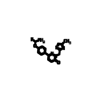 Cc1csc(Cn2nc(-c3ccc(OC(F)P)cc3)ccc2=O)n1